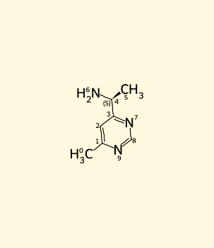 Cc1cc([C@H](C)N)ncn1